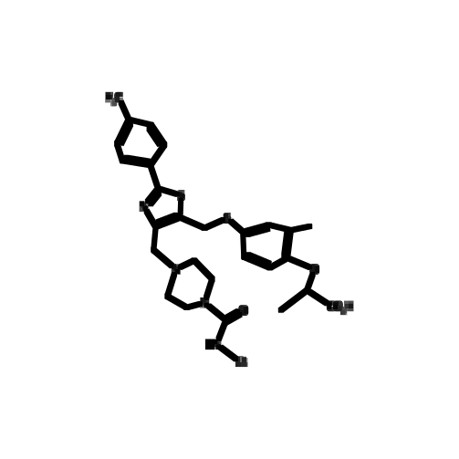 CCNC(=O)N1CCN(Cc2nc(-c3ccc(C(F)(F)F)cc3)sc2CSc2ccc(OC(C)C(=O)O)c(C)c2)CC1